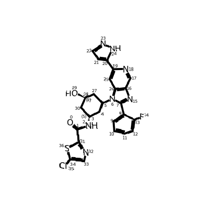 O=C(N[C@H]1CC(n2c(-c3ccccc3F)nc3cnc(-c4ccn[nH]4)cc32)C[C@H](O)C1)c1ncc(Cl)s1